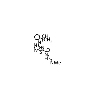 CNCCCNC(=O)c1nc2c(N3CC(C)(C)C4=CCCC=C43)ncnc2s1